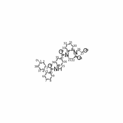 Cc1ccc(-c2ccccc2C(=O)Nc2ccc(C(=O)N3CCC(=O)N(CC=O)c4ccccc43)cc2)cc1